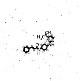 CN(C)c1ccnc(NC2CCC(NC(=O)C=Cc3ccccc3)CC2)n1